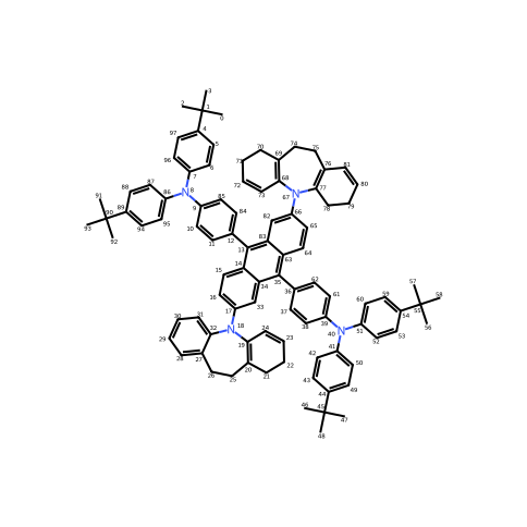 CC(C)(C)c1ccc(N(c2ccc(-c3c4ccc(N5C6=C(CCC=C6)CCc6ccccc65)cc4c(-c4ccc(N(c5ccc(C(C)(C)C)cc5)c5ccc(C(C)(C)C)cc5)cc4)c4ccc(N5C6=C(CCC=C6)CCC6=C5CCC=C6)cc34)cc2)c2ccc(C(C)(C)C)cc2)cc1